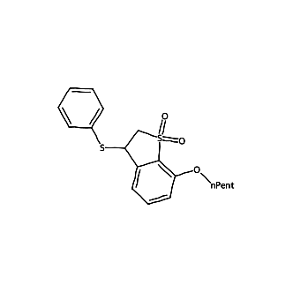 CCCCCOc1cccc2c1S(=O)(=O)CC2Sc1ccccc1